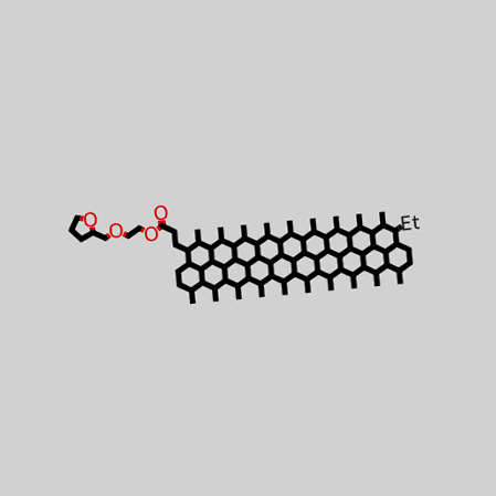 CCC1C(C)C2C(C)C3C(C)C4C(C)C5C(C)C6C(C)C7C(C)C8C(C)C9C(C)C(CCC(=O)OCCOCC%10CCCO%10)C%10CCC(C)C%11C(C)C%12C(C)C%13C(C)C%14C(C)C%15C(C)C%16C(C)C%17C(C)C%18C(C)C%19C(C)CCC1C%19C2C%18C3C%17C4C%16C5C%15C6C%14C7C%13C8C%12C9C%10%11